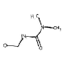 CN(C)C(=O)NC[O]